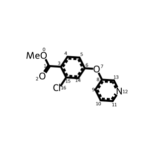 COC(=O)c1ccc(Oc2cccnc2)cc1Cl